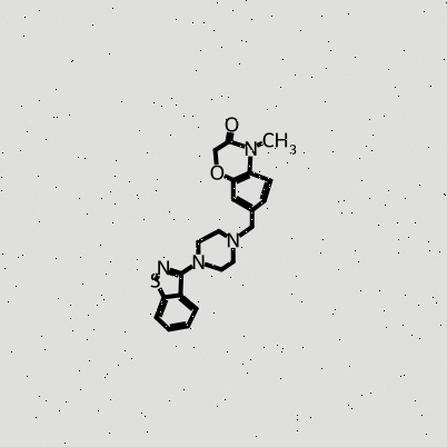 CN1C(=O)COc2cc(CN3CCN(c4nsc5ccccc45)CC3)ccc21